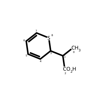 CC(C(=O)O)C1C=CC=CS1